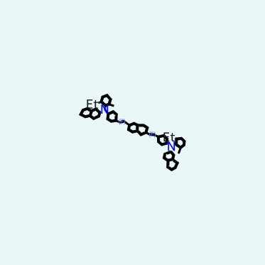 CCc1cccc(C)c1N(c1ccc(/C=C/c2ccc3cc(/C=C/c4ccc(N(c5ccc6ccccc6c5)c5c(C)cccc5CC)cc4)ccc3c2)cc1)c1ccc2ccccc2c1